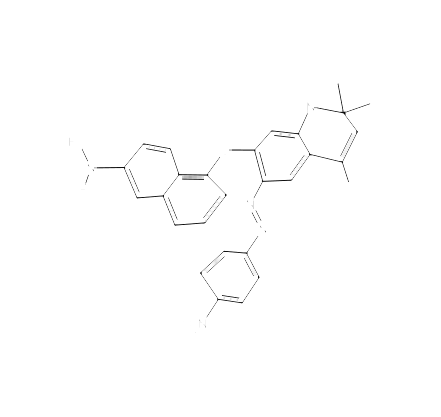 CCN(CC)c1ccc2c(Oc3cc4c(cc3/N=N/c3ccc([N+](=O)[O-])cc3)C(C)=CC(C)(C)N4)cccc2c1